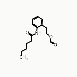 CCCCCC(=O)Nc1ccccc1CCO[C]=O